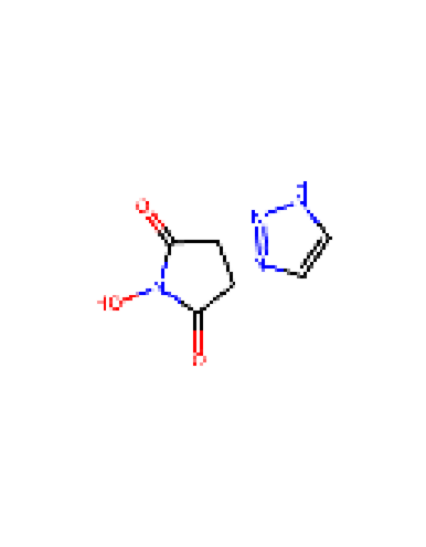 O=C1CCC(=O)N1O.c1c[nH]nn1